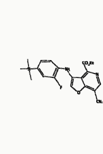 CCOC(=O)c1ncc(C#N)c2occ(Nc3ccc([Si](C)(C)C)cc3F)c12